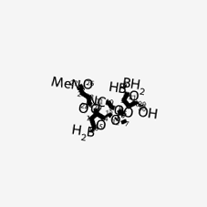 BB[C@H]1CC(OP(=C)(OCCC#N)OC[C@H]2O[C@@H](B)CC2OC(=O)CCC(=O)NC)[C@@H](CO)O1